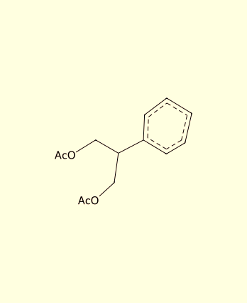 CC(=O)OCC(COC(C)=O)c1ccccc1